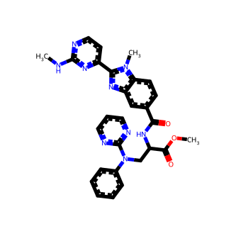 CNc1nccc(-c2nc3cc(C(=O)NC(CN(c4ccccc4)c4ncccn4)C(=O)OC)ccc3n2C)n1